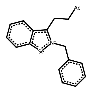 CC(=O)CCc1c2ccccc2[se][n+]1Cc1ccccc1